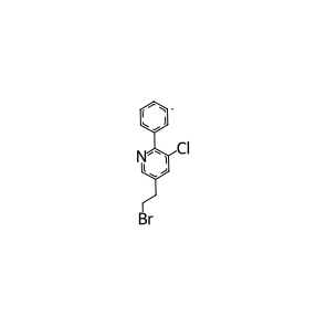 Clc1cc(CCBr)cnc1-c1c[c]ccc1